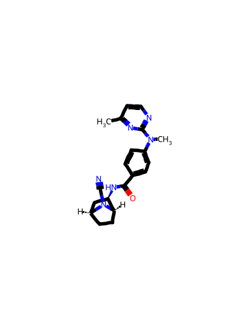 Cc1ccnc(N(C)c2ccc(C(=O)N[C@@H]3C[C@@H]4CC[C@H]3N4C#N)cc2)n1